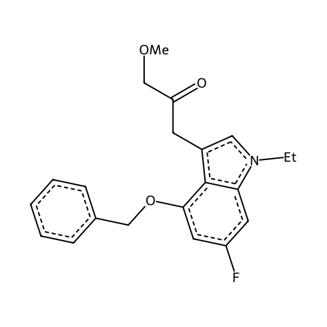 CCn1cc(CC(=O)COC)c2c(OCc3ccccc3)cc(F)cc21